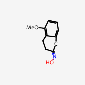 COc1cccc2c1CCC(=NO)C2